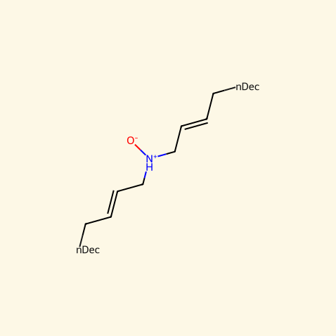 CCCCCCCCCCCC=CC[NH+]([O-])CC=CCCCCCCCCCCC